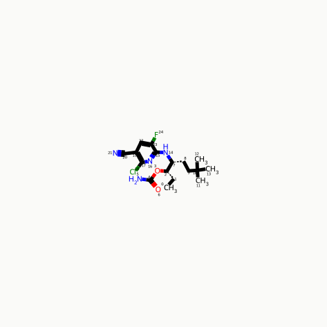 CC[C@H](OC(N)=O)[C@@H](CCC(C)(C)C)Nc1nc(Cl)c(C#N)cc1F